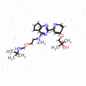 CN(CCOCNC(C)(C)C)c1nc(-c2cc(OCC(C)(C)O)ccn2)nc2c1CCC2